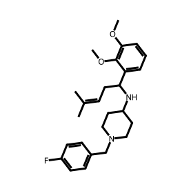 COc1cccc(C(CC=C(C)C)NC2CCN(Cc3ccc(F)cc3)CC2)c1OC